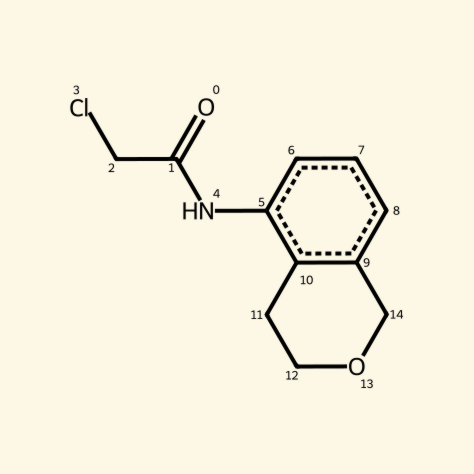 O=C(CCl)Nc1cccc2c1CCOC2